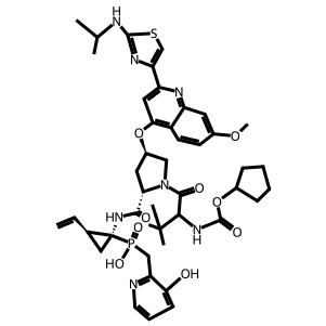 C=C[C@@H]1C[C@]1(NC(=O)[C@@H]1C[C@@H](Oc2cc(-c3csc(NC(C)C)n3)nc3cc(OC)ccc23)CN1C(=O)C(NC(=O)OC1CCCC1)C(C)(C)C)P(=O)(O)Cc1ncccc1O